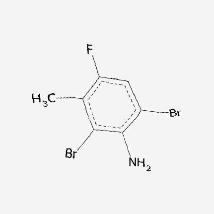 Cc1c(F)cc(Br)c(N)c1Br